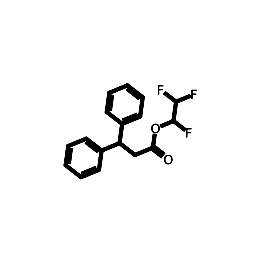 O=C(CC(c1ccccc1)c1ccccc1)OC(F)C(F)F